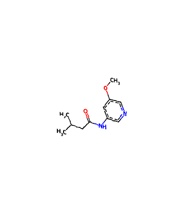 COc1cncc(NC(=O)CC(C)C)c1